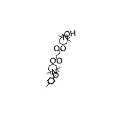 Cc1ccc(ON2C(C)(C)CCC(OC(=O)CCC(=O)OC3CCC(C)(C)N(O)C(C)(C)C3)CC2(C)C)cc1